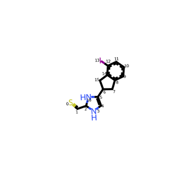 S=CC1NC=C(C2Cc3cccc(I)c3C2)N1